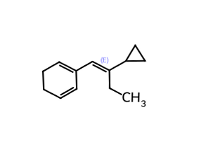 CC/C(=C\C1=CCCC=C1)C1CC1